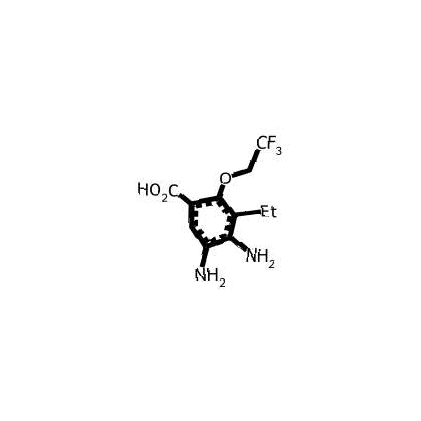 CCc1c(N)c(N)cc(C(=O)O)c1OCC(F)(F)F